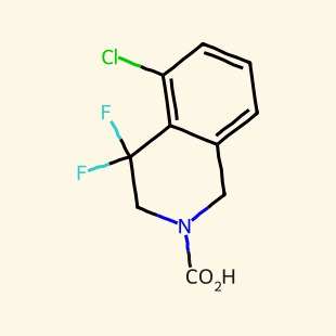 O=C(O)N1Cc2cccc(Cl)c2C(F)(F)C1